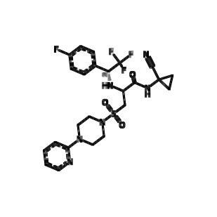 N#CC1(NC(=O)C(CS(=O)(=O)N2CCN(c3ccccn3)CC2)N[C@H](c2ccc(F)cc2)C(F)(F)F)CC1